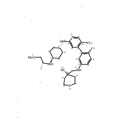 COC[C@@H](C)N[C@H]1CC[C@H](Nc2cc(-c3cc(NCC4(C#N)CCOCC4)ccc3F)c(Cl)cn2)CC1